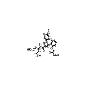 COC(=O)COc1cccc(OC)c1-c1cc(C(=O)N[C@@H](CCC(C)C)CC(=O)O)nn1-c1ccc(F)cc1